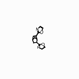 C1COC(C2CC3CC(C4=NCCO4)C2C3)=N1